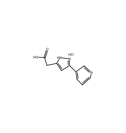 Cl.O=C(O)Cc1cc(-c2cccnc2)n[nH]1